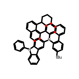 CC(C)(C)c1ccc(-c2ccccc2)c(N(c2ccc3c(c2)c2ccccc2n3-c2ccccc2)c2ccccc2-c2cccc3cccc(C4CCCCC4)c23)c1